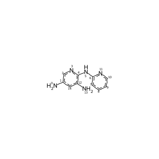 Nc1cnc(Nc2ccccn2)c(N)c1